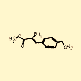 CCc1ccc(C[C@H](N)C(=O)OC)cc1